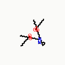 CCCCCCCCC(CCCCCC)C(=O)OCCCCCCN(CCCCCCOC(=O)C(CCCCCC)CCCCCCCC)CC(C1CCCCC1)N(C)C